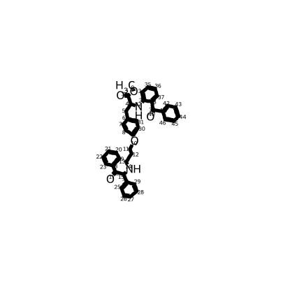 COC(=O)C(Cc1ccc(OCCCNC(C(=O)c2ccccc2)c2ccccc2)cc1)Nc1ccccc1C(=O)c1ccccc1